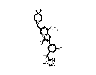 C[C@@H](c1cc(F)cc(-n2cc3c(C(F)(F)F)cc(CN4CCC(C)(F)CC4)cn3c2=O)c1)c1nncn1C